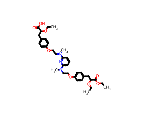 CCOC(=O)C(Cc1ccc(OCCN(C)c2cccc(N(C)CCOc3ccc(CC(OCC)C(=O)O)cc3)n2)cc1)OCC